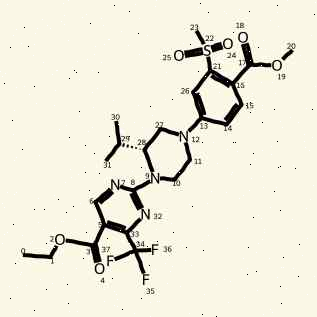 CCOC(=O)c1cnc(N2CCN(c3ccc(C(=O)OC)c(S(C)(=O)=O)c3)C[C@H]2C(C)C)nc1C(F)(F)F